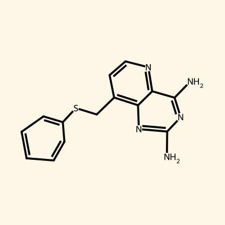 Nc1nc(N)c2nccc(CSc3ccccc3)c2n1